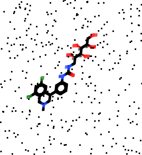 CN1Cc2c(Cl)cc(Cl)cc2C(c2cccc(NC(=O)NC[C@H](O)[C@@H](O)[C@H](O)[C@H](O)CO)c2)C1